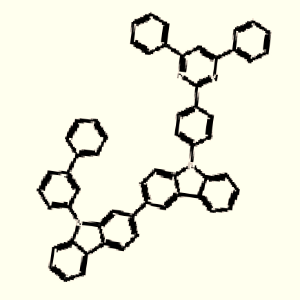 c1ccc(-c2cccc(-n3c4ccccc4c4ccc(-c5ccc6c(c5)c5ccccc5n6-c5ccc(-c6nc(-c7ccccc7)cc(-c7ccccc7)n6)cc5)cc43)c2)cc1